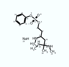 CNC(CCOS(=O)(=O)Oc1ccccc1)CC(C)(NC)NC.[NaH]